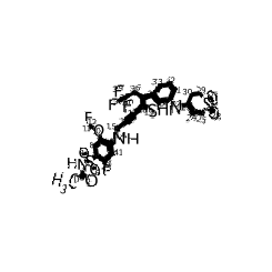 CC(=O)NS(=O)(=O)c1cc(OCF)c(NCC#Cc2sc3c(NC4CCS(=O)(=O)CC4)cccc3c2CC(F)(F)F)cc1F